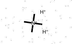 C[N+](C)(C)C.[H+].[H+]